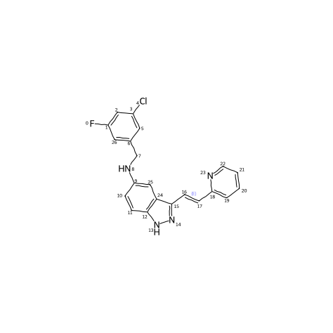 Fc1cc(Cl)cc(CNc2ccc3[nH]nc(/C=C/c4ccccn4)c3c2)c1